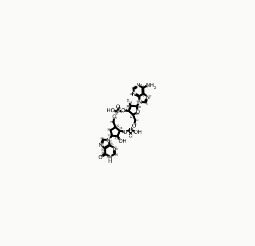 Nc1ncnc2c1ncn2C1OC2COP(=O)(O)OC3C(COP(=O)(O)OC2C1F)CC(n1cnc2c(=O)[nH]cnc21)C3O